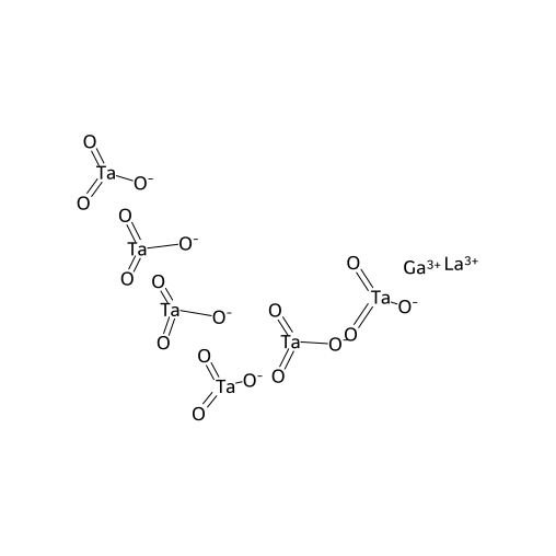 [Ga+3].[La+3].[O]=[Ta](=[O])[O-].[O]=[Ta](=[O])[O-].[O]=[Ta](=[O])[O-].[O]=[Ta](=[O])[O-].[O]=[Ta](=[O])[O-].[O]=[Ta](=[O])[O-]